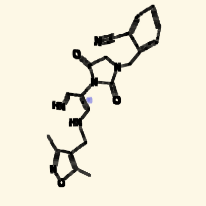 Cc1noc(C)c1CN/C=C(\C=N)N1C(=O)CN(Cc2ccccc2C#N)C1=O